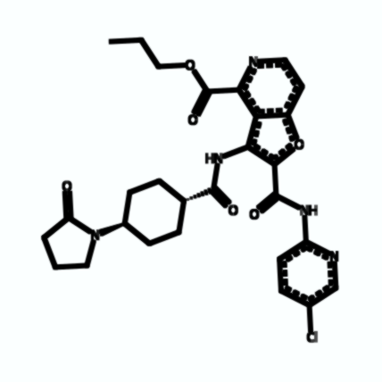 CCCOC(=O)c1nccc2oc(C(=O)Nc3ccc(Cl)cn3)c(NC(=O)[C@H]3CC[C@H](N4CCCC4=O)CC3)c12